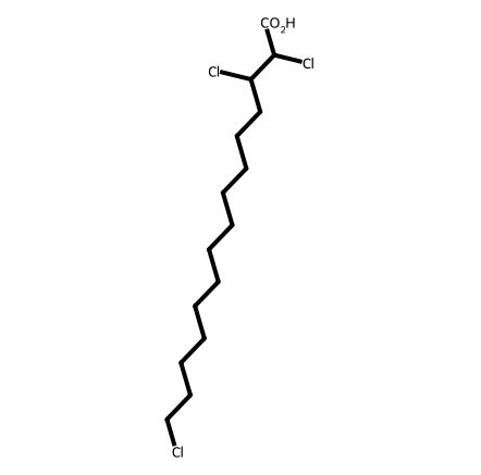 O=C(O)C(Cl)C(Cl)CCCCCCCCCCCCCl